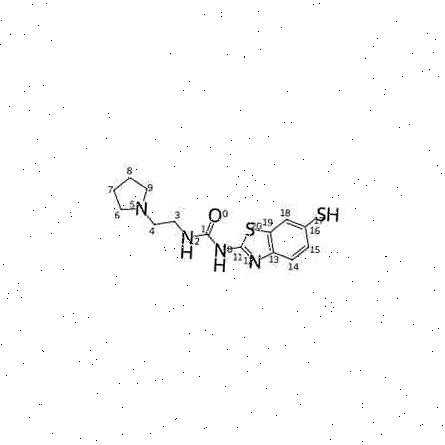 O=C(NCCN1CCCC1)Nc1nc2ccc(S)cc2s1